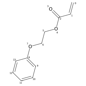 C=CC(=O)OCCOc1cc[c]cc1